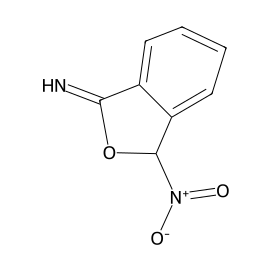 N=C1OC([N+](=O)[O-])c2ccccc21